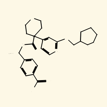 C[C@H](NC(=O)C1(c2ccnc(OCC3CCCCC3)c2)CCOCC1)c1ccc(C(=O)O)cc1